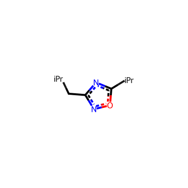 CC(C)Cc1noc(C(C)C)n1